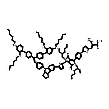 [C-]#[N+]/C(=C\c1ccc(-c2ccc(C3=C4C(=O)N(CC(CC)CCCC)C(c5ccc(-c6ccc7c(c6)C6CCCC6N7c6ccc(C=C(c7ccc(-c8ccc(OCCCCCC)cc8OCCCCCC)cc7)c7ccc(-c8ccc(OCCCCCC)cc8OCCCCCC)cc7)cc6)s5)=C4C(=O)N3CC(CC)CCCC)cc2)o1)C(=O)O